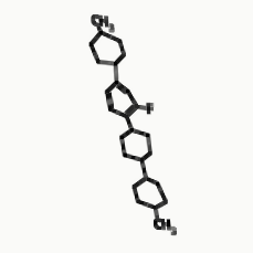 CC1CCC(c2ccc(C3CCC(C4CCC(C)CC4)CC3)c(F)c2)CC1